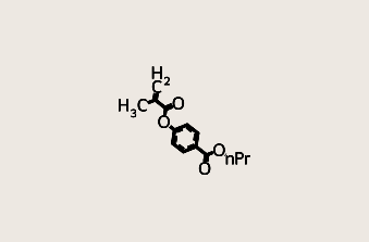 C=C(C)C(=O)Oc1ccc(C(=O)OCCC)cc1